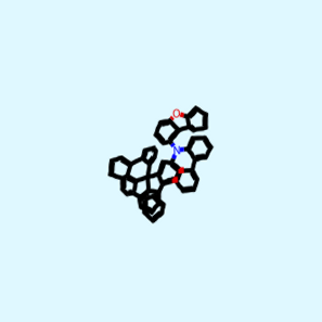 c1ccc(-c2ccccc2N(c2ccc3c(c2)C2(c4ccccc4-3)c3ccccc3-c3cccc4ccc(-c5ccccc5)c2c34)c2cccc3oc4ccccc4c23)cc1